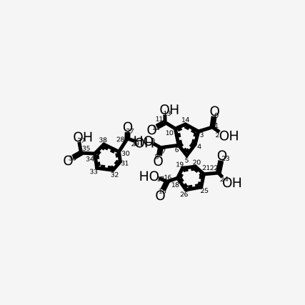 O=C(O)c1ccc(C(=O)O)c(C(=O)O)c1.O=C(O)c1ccc(C(=O)O)cc1.O=C(O)c1cccc(C(=O)O)c1